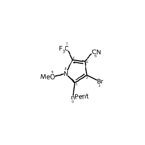 CCCCCc1c(Br)c(C#N)c(C(F)(F)F)n1OC